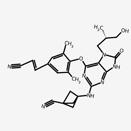 Cc1cc(/C=C/C#N)cc(C)c1Oc1nc(NC23CC(C#N)(C2)C3)nc2[nH]c(=O)n(C[C@H](C)CO)c12